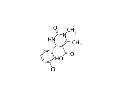 CC1=C(C(=O)O)C(c2cccc(Cl)c2)NC(=O)N1C